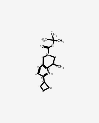 CC1CN(C(=O)OC(C)(C)C)Cc2ccc(C3CCC3)nc21